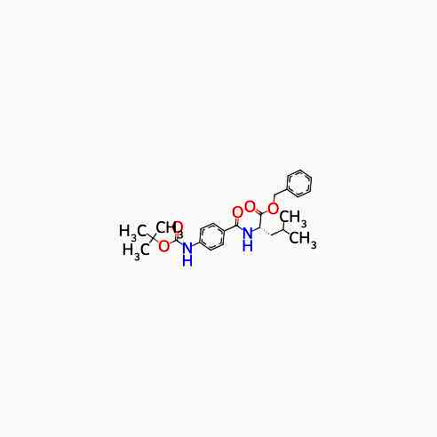 CC(C)C[C@H](NC(=O)c1ccc(NC(=O)OC(C)(C)C)cc1)C(=O)OCc1ccccc1